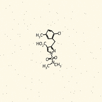 Cc1ccc(Cl)c(Cc2nn(S(=O)(=O)N(C)C)cc2C(=O)O)c1